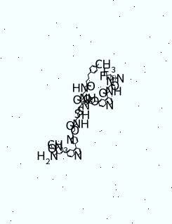 COc1ncc(-c2ccc3nccc(-c4ccc(COC(=O)NCCSSCC(NC(=O)COc5ccc6nccc(C(=O)NCC(=O)N7CC(F)(F)C[C@H]7C#N)c6c5)C(=O)NCCNC(=O)CCCc5ccc(C)cc5)nc4)c3c2)cc1N